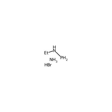 Br.CCNP.N